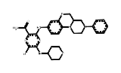 CCc1nc(C(N)=O)c(Nc2ccc3c(c2)OCC2CN(c4ccccc4)CCN32)nc1NC1CCOCC1